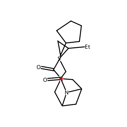 CCC1CC1C(=O)N1CC2CC(C1)N2C(=O)CSC1CCCC1